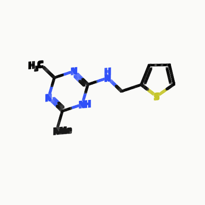 CNC1=NC(C)N=C(NCc2cccs2)N1